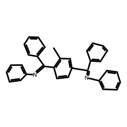 Cc1cc(/C(=N/c2ccccc2)c2ccccc2)ccc1/C(=N/c1ccccc1)c1ccccc1